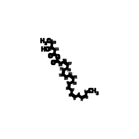 CC/C=C\C/C=C\C/C=C\C/C=C\C/C=C\C/C=C\CC(=O)OC(=O)CC(O)CC